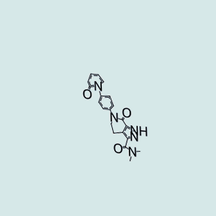 CN(C)C(=O)c1n[nH]c2c1CCN(c1ccc(-n3ccccc3=O)cc1)C2=O